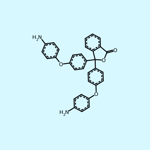 Nc1ccc(Oc2ccc(C3(c4ccc(Oc5ccc(N)cc5)cc4)OC(=O)c4ccccc43)cc2)cc1